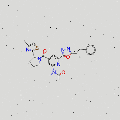 CC(=O)N(C)c1cc(C(=O)N2CCC[C@@H]2c2nc(C)cs2)cc(-c2nnc([C@@H](C)Cc3ccccc3)o2)n1